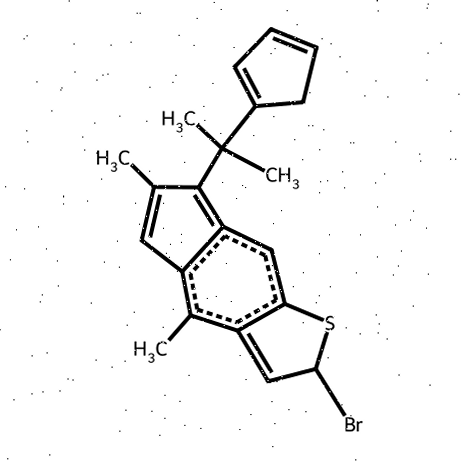 CC1=Cc2c(C)c3c(cc2=C1C(C)(C)C1=CC=CC1)SC(Br)C=3